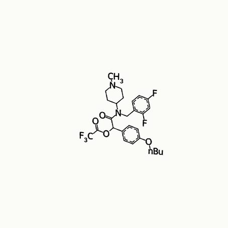 CCCCOc1ccc(C(OC(=O)C(F)(F)F)C(=O)N(Cc2ccc(F)cc2F)C2CCN(C)CC2)cc1